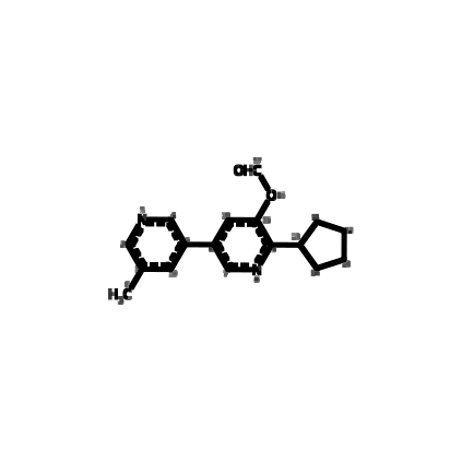 Cc1cncc(-c2cnc(C3CCCC3)c(OC=O)c2)c1